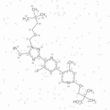 Cc1cc(OCC(C)(C)C(=O)O)ncc1-c1cnc(-c2nc(OC(C)C)n(COCCS(C)(C)C)n2)c(F)c1